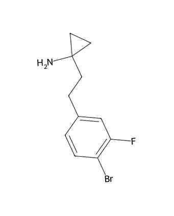 NC1(CCc2ccc(Br)c(F)c2)CC1